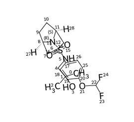 CC(C)(O)CN[C@@H]1C[C@H]2CC[C@@H](C1)N2S(=O)(=O)c1ccc(OC(F)F)cc1